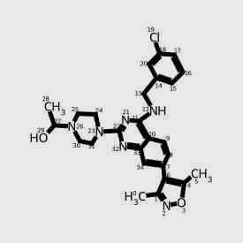 Cc1noc(C)c1-c1ccc2c(NCc3cccc(Cl)c3)nc(N3CCN(C(C)O)CC3)nc2c1